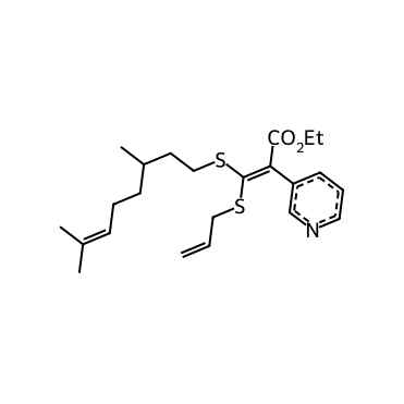 C=CCS/C(SCCC(C)CCC=C(C)C)=C(/C(=O)OCC)c1cccnc1